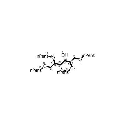 CCCCCOC[C@@H](OCCCCC)[C@@H](O)[C@H](O)[C@@H](COCCCCC)OCCCCC